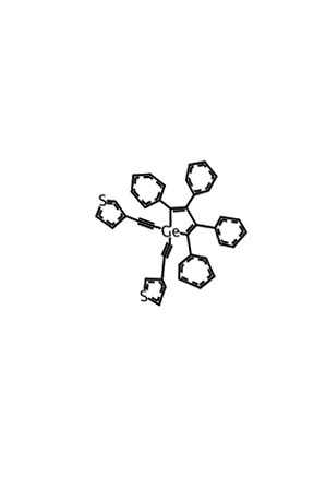 C(#[C][Ge]1([C]#Cc2ccsc2)[C](c2ccccc2)=C(c2ccccc2)C(c2ccccc2)=[C]1c1ccccc1)c1ccsc1